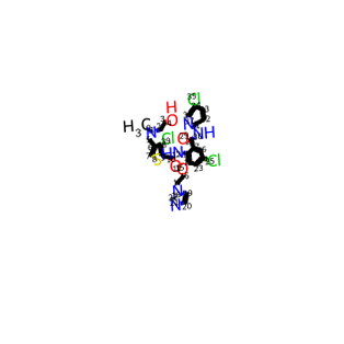 CN(CCO)Cc1csc(C(=O)Nc2c(OCCn3ccnc3)cc(Cl)cc2C(=O)Nc2ccc(Cl)cn2)c1Cl